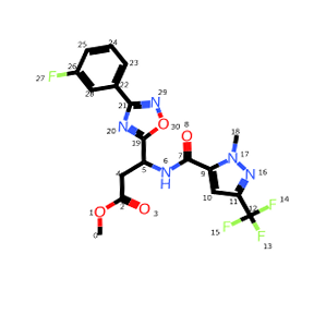 COC(=O)CC(NC(=O)c1cc(C(F)(F)F)nn1C)c1nc(-c2cccc(F)c2)no1